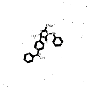 CSC1=N[C@](C)(c2ccc([C@@H](O)c3ccccc3)cc2)C(=O)N1Nc1ccccc1